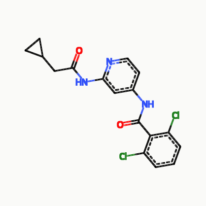 O=C(CC1CC1)Nc1cc(NC(=O)c2c(Cl)cccc2Cl)ccn1